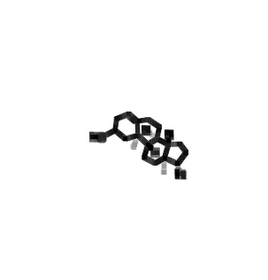 CC[C@H]1CC[C@H]2[C@@H]3CCC4=CCC(O)C[C@]4(C)[C@H]3CC[C@]12C